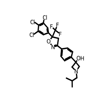 CC(C)CN1CC(O)(c2ccc(C3=NOC(c4cc(Cl)c(Cl)c(Cl)c4)(C(F)(F)F)C3)cc2)C1